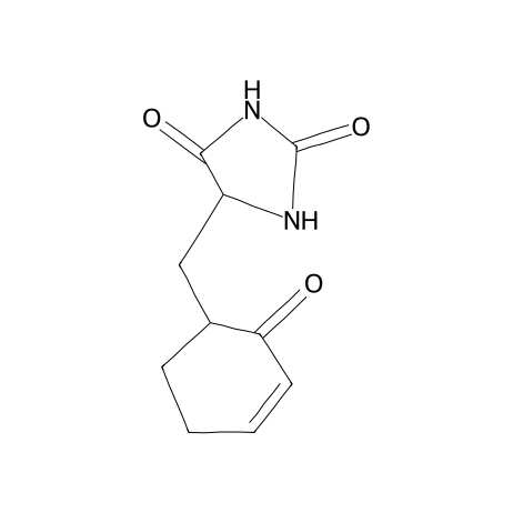 O=C1NC(=O)C(CC2CCC=CC2=O)N1